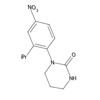 CC(C)c1cc([N+](=O)[O-])ccc1N1CCCNC1=O